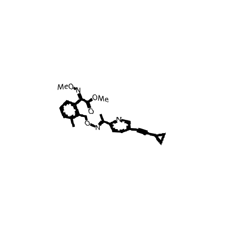 CO/N=C(/C(=O)OC)c1cccc(C)c1CO/N=C(\C)c1ccc(C#CC2CC2)cn1